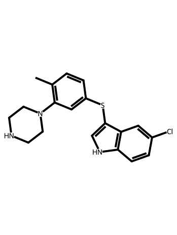 Cc1ccc(Sc2c[nH]c3ccc(Cl)cc23)cc1N1CCNCC1